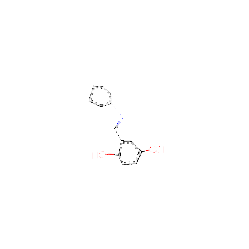 Oc1ccc(O)c(/C=N/c2ccccc2)c1